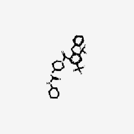 O=C(NC1CCCCC1)OC1CCN(C(=O)c2cc(C(F)(F)F)cc(C(F)(F)F)c2Cc2ccccc2)CC1